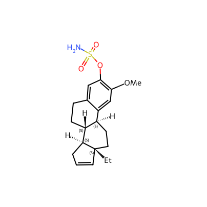 CC[C@@]12C=CC[C@H]1[C@@H]1CCc3cc(OS(N)(=O)=O)c(OC)cc3[C@H]1CC2